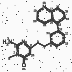 Cn1c(N)nc(CCc2cccc(-c3cccc4ncccc34)c2)cc1=O